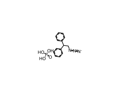 O=P(O)(O)O.[N-]=[N+]=NCC(c1ccccc1)c1ccccc1